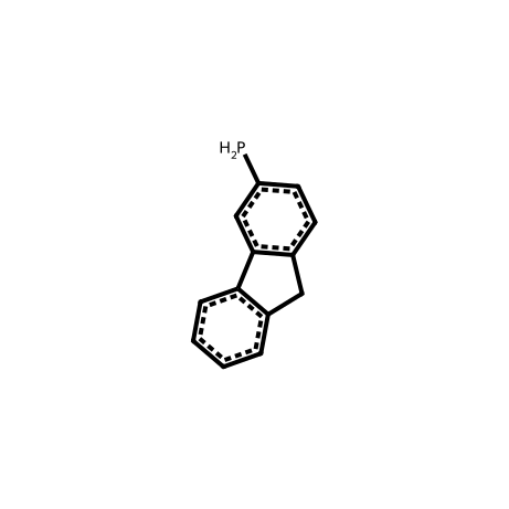 Pc1ccc2c(c1)-c1ccccc1C2